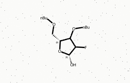 CCCCOC[C@H]1O[C@@H](O)C(F)C1OCCCC